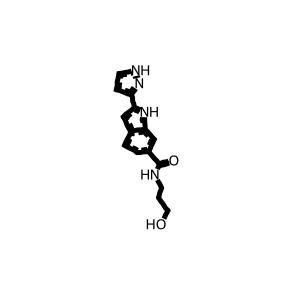 O=C(NCCCO)c1ccc2cc(-c3cc[nH]n3)[nH]c2c1